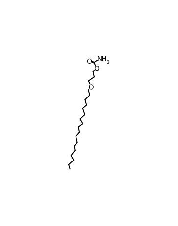 CCCCCCCCCCCCCCCCCCOCCCOC(N)=O